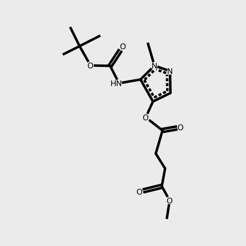 COC(=O)CCC(=O)Oc1cnn(C)c1NC(=O)OC(C)(C)C